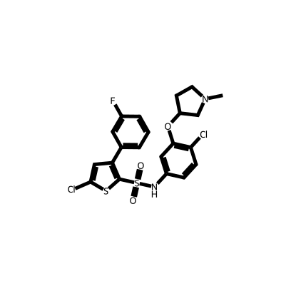 CN1CCC(Oc2cc(NS(=O)(=O)c3sc(Cl)cc3-c3cccc(F)c3)ccc2Cl)C1